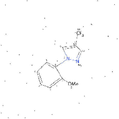 COc1ccccc1-n1cc(C(F)(F)F)cn1